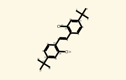 CC(C)(C)c1ccc(/C=C/c2ccc(C(C)(C)C)cc2Cl)c(Cl)c1